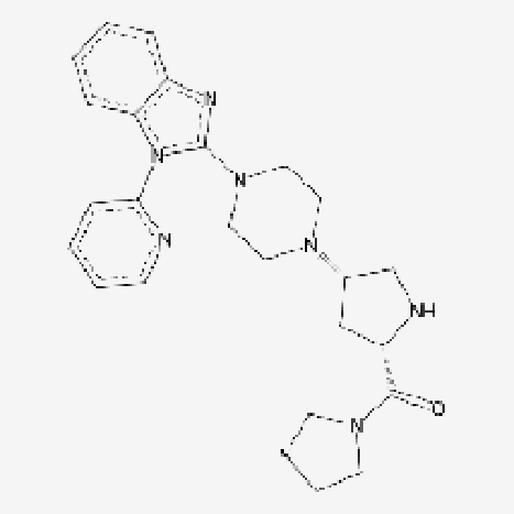 O=C([C@@H]1C[C@H](N2CCN(c3nc4ccccc4n3-c3ccccn3)CC2)CN1)N1CCSC1